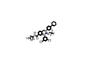 O=C(Nc1nn[nH]n1)c1ccc(CN(/C(=N\CC(F)(F)F)Nc2cc(Cl)cc(Cl)c2)c2ccc(C3=CCCCC3)cc2)cc1